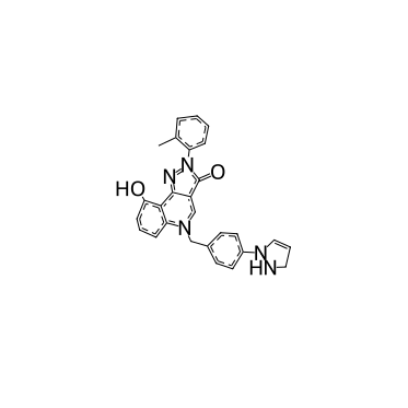 Cc1ccccc1-n1nc2c3c(O)cccc3n(Cc3ccc(N4C=CCN4)cc3)cc-2c1=O